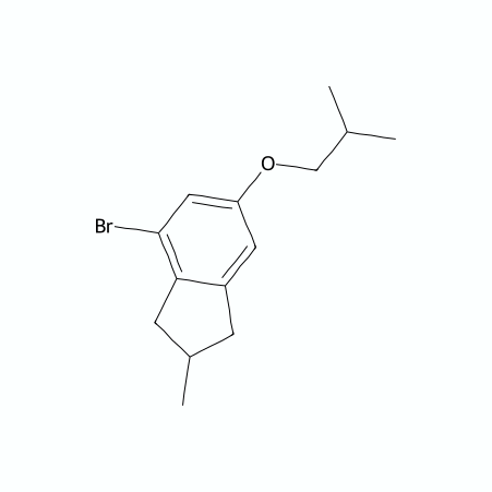 CC(C)COc1cc(Br)c2c(c1)CC(C)C2